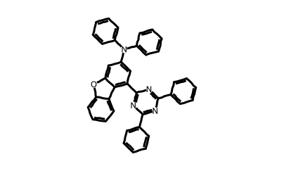 c1ccc(-c2nc(-c3ccccc3)nc(-c3cc(N(c4ccccc4)c4ccccc4)cc4oc5ccccc5c34)n2)cc1